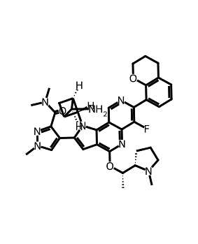 C[C@H](Oc1nc2c(F)c(-c3cccc4c3OCCC4)ncc2c2c1cc(-c1cn(C)nc1C(=O)N(C)C)n2[C@@H]1C2C[C@@H]1[C@H]2N)[C@@H]1CCCN1C